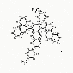 FC(F)(F)c1ccc(-c2ccc3c(-c4cc5ccccc5c5ccccc45)c4cc(-c5cccc(C(F)(F)F)c5)cc(-c5cc6ccccc6c6ccccc56)c4cc3c2)cc1